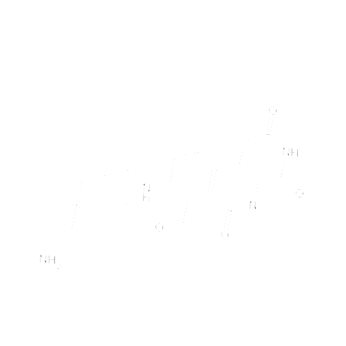 CCC(C)(CCN)CC(C)(CC)CNc1cccc(C(=O)N(C)C2CCC(=O)NC2=O)c1C=O